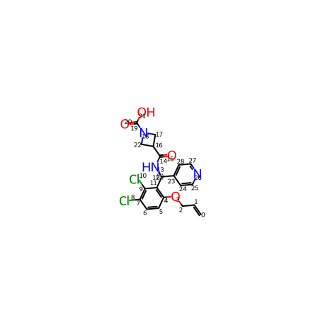 C=CCOc1ccc(Cl)c(Cl)c1[C@@H](NC(=O)C1CN(C(=O)O)C1)c1ccncc1